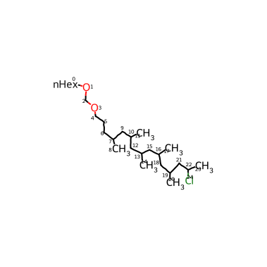 CCCCCCOCOCCCC(C)CC(C)CC(C)CC(C)CC(C)CC(C)Cl